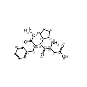 COC(=O)[C@H](Cc1ccccc1)N(C(=O)[C@@H](N)CC(=O)O)C1CCCC1